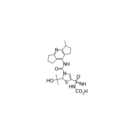 CC1CCc2c1nc1c(c2NC(=O)N2C=C(S(=N)(=O)NC(=O)O)SC2C(C)(C)O)CCC1